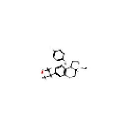 O=CN1CC[C@@]2(S(=O)(=O)c3ccc(F)cc3)c3ccc(C(F)(C(F)(F)F)C(F)(F)F)cc3CC[C@@H]12